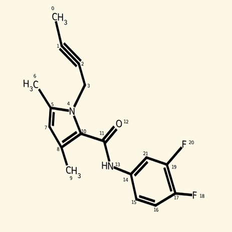 CC#CCn1c(C)cc(C)c1C(=O)Nc1ccc(F)c(F)c1